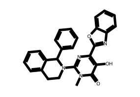 Cn1c(N2CCc3ccccc3C2c2ccccc2)nc(-c2nc3ccccc3o2)c(O)c1=O